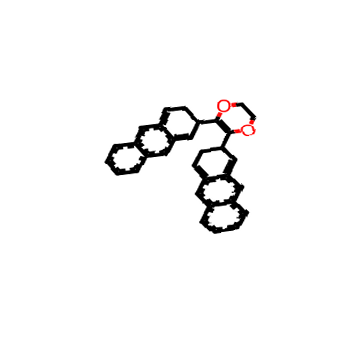 C1=c2cc3ccccc3cc2=CC(C2=C(C3C=c4cc5ccccc5cc4=CC3)OCCO2)C1